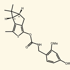 COc1ccc(CNC(=O)Oc2sc(C)c3c2C[C@@H]2[C@H]3C2(C)C)c(OC)c1